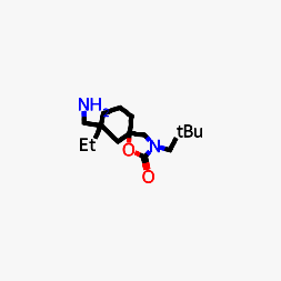 CCC1(CN)CCCC2(CN(CC(C)(C)C)C(=O)O2)C1